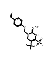 O=Cc1ccc(OCN2CC(C(F)(F)F)=C(S(=O)(=O)[O-])NC2=O)cc1.[Na+]